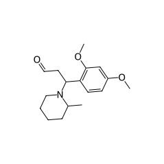 COc1ccc(C(CC=O)N2CCCCC2C)c(OC)c1